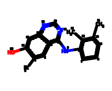 CCc1cc2c(Nc3cccc(C)c3C)ncnc2cc1O